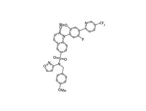 COc1ccc(CN(c2ccon2)S(=O)(=O)c2ccc3c(ccc(=O)n3-c3cc(F)c(-c4ccc(C(F)(F)F)cn4)cc3OC)c2)cc1